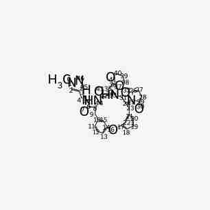 Cn1cc(CNC(=O)[C@@H]2Cc3cccc(c3)Oc3cccc(c3)C[C@H](N3CCCC3=O)C(=O)N[C@@H](CC3OCCCO3)C(=O)N2)cn1